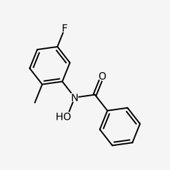 Cc1ccc(F)cc1N(O)C(=O)c1ccccc1